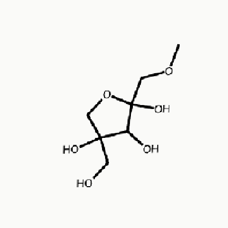 COCC1(O)OCC(O)(CO)C1O